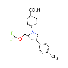 O=C(O)c1ccc(N2CC(c3ccc(C(F)(F)F)cc3)C[C@H]2COC(F)F)cc1